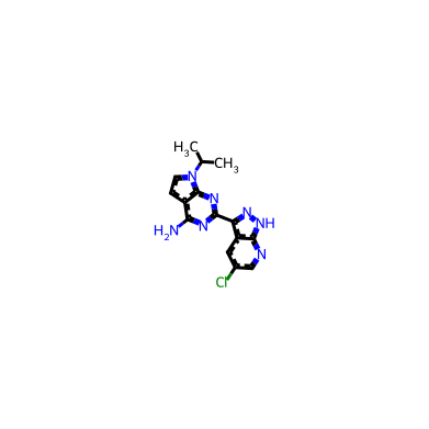 CC(C)n1ccc2c(N)nc(-c3n[nH]c4ncc(Cl)cc34)nc21